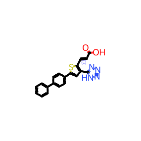 O=C(O)/C=C/c1sc(-c2ccc(-c3ccccc3)cc2)cc1-c1nnn[nH]1